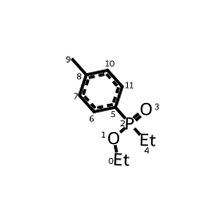 CCOP(=O)(CC)c1ccc(C)cc1